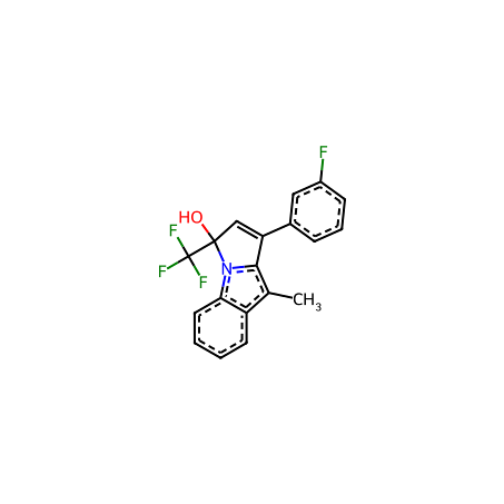 Cc1c2n(c3ccccc13)C(O)(C(F)(F)F)C=C2c1cccc(F)c1